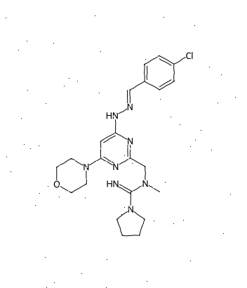 CN(Cc1nc(NN=Cc2ccc(Cl)cc2)cc(N2CCOCC2)n1)C(=N)N1CCCC1